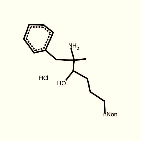 CCCCCCCCCCCCC(O)C(C)(N)Cc1ccccc1.Cl